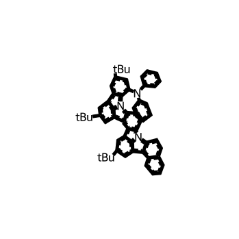 CC(C)(C)c1cc(N(c2ccccc2)c2ccccc2)c2c(c1)c1cc(C(C)(C)C)cc3c4c5c6cc(C(C)(C)C)cc7c8c9ccccc9ccc8n(c5ccc4n2c13)c76